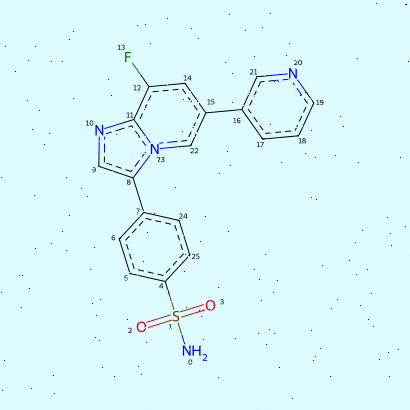 NS(=O)(=O)c1ccc(-c2cnc3c(F)cc(-c4cccnc4)cn23)cc1